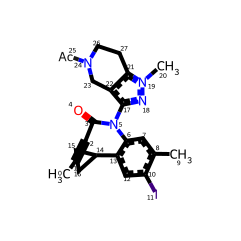 CC#CC(=O)N(c1cc(C)c(I)cc1C1CC1)c1nn(C)c2c1CN(C(C)=O)CC2